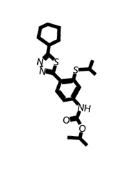 CC(C)OC(=O)Nc1ccc(-c2nnc(C3CCCCC3)s2)c(SC(C)C)c1